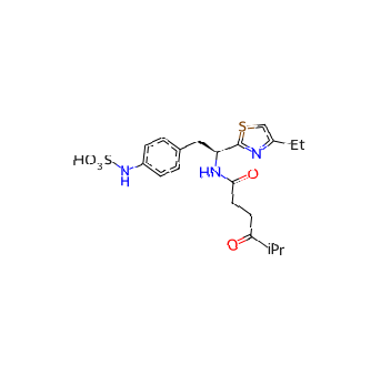 CCc1csc([C@H](Cc2ccc(NS(=O)(=O)O)cc2)NC(=O)CCC(=O)C(C)C)n1